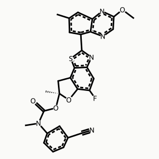 COc1cnc2c(-c3nc4cc(F)c5c(c4s3)C[C@](C)(OC(=O)N(C)c3cccc(C#N)c3)O5)cc(C)cc2n1